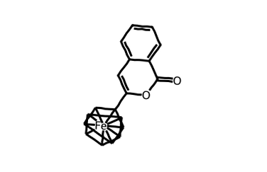 O=c1oc([C]23[CH]4[CH]5[CH]6[CH]2[Fe]56432789[CH]3[CH]2[CH]7[CH]8[CH]39)cc2ccccc12